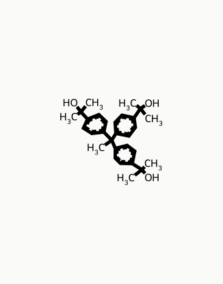 CC(C)(O)c1ccc(C(C)(c2ccc(C(C)(C)O)cc2)c2ccc(C(C)(C)O)cc2)cc1